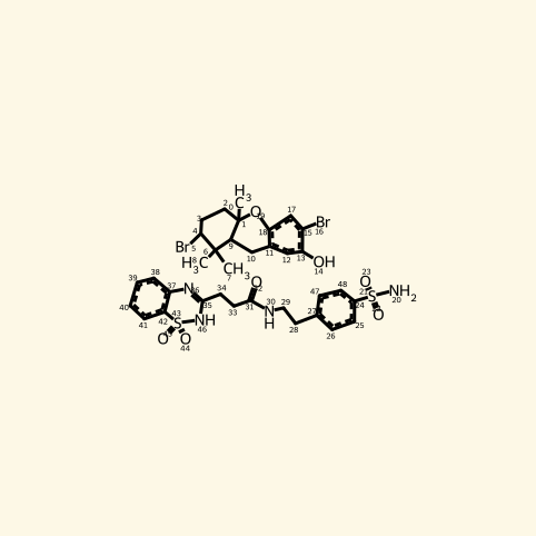 CC12CCC(Br)C(C)(C)C1Cc1cc(O)c(Br)cc1O2.NS(=O)(=O)c1ccc(CCNC(=O)CCC2=Nc3ccccc3S(=O)(=O)N2)cc1